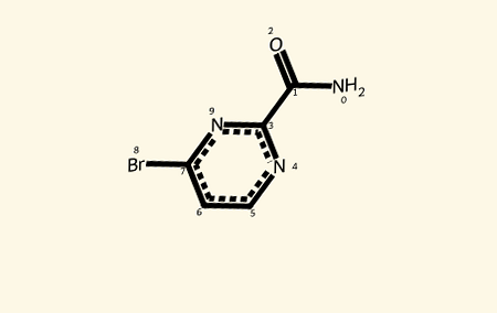 NC(=O)c1nccc(Br)n1